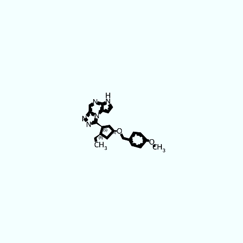 CC[C@@H]1C[C@H](OCc2ccc(OC)cc2)C[C@@H]1c1nnc2cnc3[nH]ccc3n12